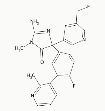 Cc1ncccc1-c1cc(C2(c3cncc(CF)c3)N=C(N)N(C)C2=O)ccc1F